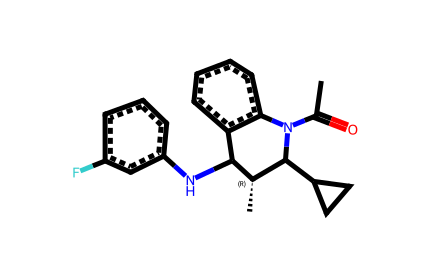 CC(=O)N1c2ccccc2C(Nc2cccc(F)c2)[C@@H](C)C1C1CC1